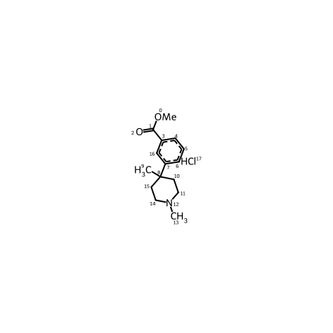 COC(=O)c1cccc(C2(C)CCN(C)CC2)c1.Cl